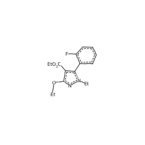 CCOC(=O)c1c(OCC)nn(CC)c1-c1ccccc1F